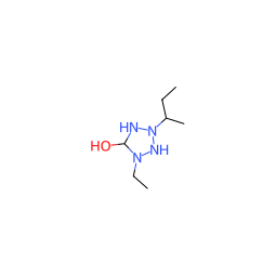 CCC(C)N1NC(O)N(CC)N1